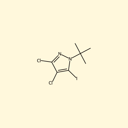 CC(C)(C)n1nc(Cl)c(Cl)c1I